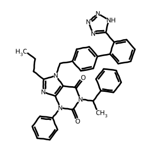 CCCc1nc2c(c(=O)n(C(C)c3ccccc3)c(=O)n2-c2ccccc2)n1Cc1ccc(-c2ccccc2-c2nnn[nH]2)cc1